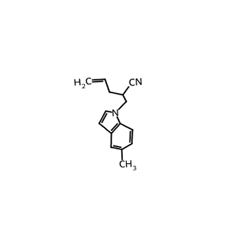 C=CCC(C#N)Cn1ccc2cc(C)ccc21